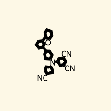 N#Cc1ccc(N(c2ccc(-c3cccc4c3oc3ccccc34)cc2)c2cc(C#N)cc(C#N)c2)cc1